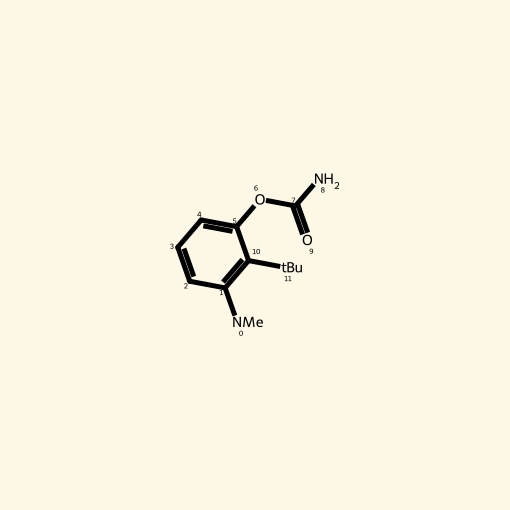 CNc1cccc(OC(N)=O)c1C(C)(C)C